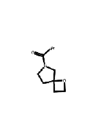 CC(C)C(=O)N1CCC2(CCO2)C1